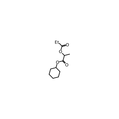 [CH2]CC(=O)OC(C)C(=O)OC1CCCCC1